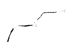 CO[N]CO